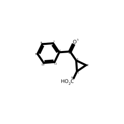 O=C(O)C1CC1C(=O)c1ccccc1